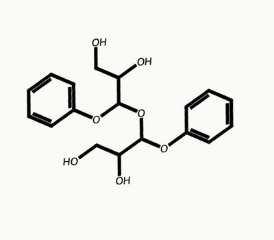 OCC(O)C(Oc1ccccc1)OC(Oc1ccccc1)C(O)CO